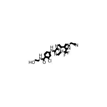 N#CCn1cc(-c2cnc3c(Nc4ccc(C(=O)NCCO)c(Cl)c4)nccn23)c(C(F)(F)F)n1